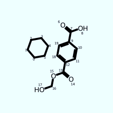 C1CCCCC1.O=C(O)c1ccc(C(=O)OCO)cc1